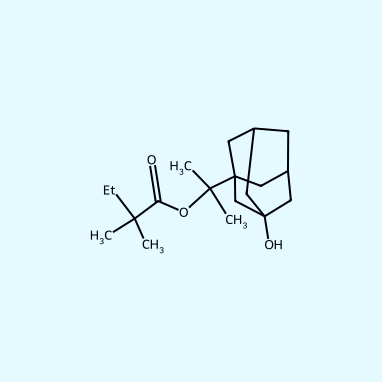 CCC(C)(C)C(=O)OC(C)(C)C12CC3CC(CC(O)(C3)C1)C2